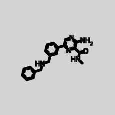 CNC(=O)c1nc(-c2cccc(CNCc3ccccc3)c2)cnc1N